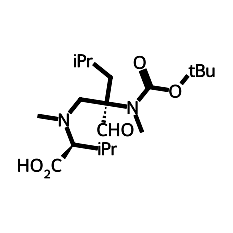 CC(C)C[C@](C=O)(CN(C)[C@H](C(=O)O)C(C)C)N(C)C(=O)OC(C)(C)C